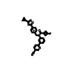 N#Cc1ccc(-c2cccc(N(CC34CCC(c5nc(C6CC6)no5)(CC3)CC4)C(=O)C34CC(F)(C3)C4)c2)nc1